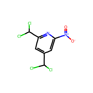 O=[N+]([O-])c1cc(C(Cl)Cl)cc(C(Cl)Cl)n1